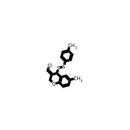 Cc1ccc(SSC2/C(=C\Cl)COc3ccc(C)cc32)cc1